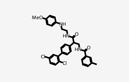 COc1ccc(NCCNC(=O)C(CNC(=O)c2cccc(C)c2)c2ccc(-c3cc(Cl)ccc3Cl)cc2)cc1